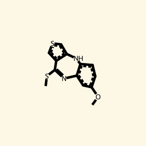 COc1ccc2c(c1)N=C(SC)c1cscc1N2